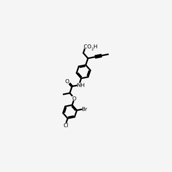 CC#CC(CC(=O)O)c1ccc(NC(=O)C(C)Oc2ccc(Cl)cc2Br)cc1